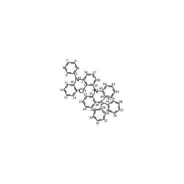 Clc1c(N(c2ccccc2)c2ccccc2)cccc1N1c2ccccc2S(c2ccccc2)(c2ccccc2)c2ccccc21